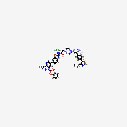 Cc1ncc(-c2ccc3nc(NC(=O)CN4CCN(CC[C@H](N)c5ccc(-c6scnc6C)cc5)CC4)sc3c2)cc1NC(=O)OC1CCCCC1.Cl